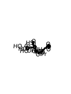 CC(C)[C@H](NC(=O)CCCCCN1C(=O)C=CC1=O)C(=O)N[C@@H](C)C(=O)Nc1ccc(COC(=O)S)c(C#C[C@@H]2O[C@H](C(=O)O)[C@@H](O)[C@H](O)[C@H]2O)c1